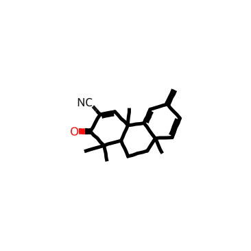 C=C1C=CC2(C)CCC3C(C)(C)C(=O)C(C#N)=CC3(C)C2=C1